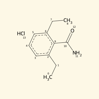 CCc1cccc(CC)c1C(N)=O.Cl